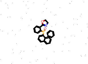 O=[P@@](c1ccccc1)(c1ccccc1C1=NCCO1)c1cccc2ccccc12